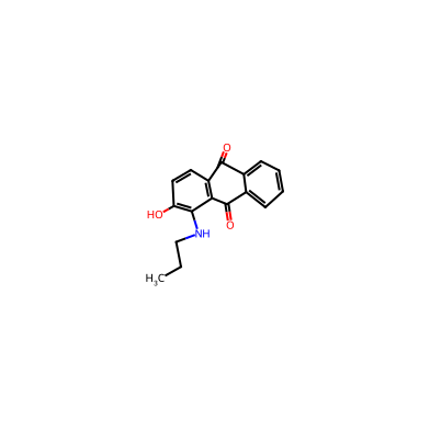 CCCNc1c(O)ccc2c1C(=O)c1ccccc1C2=O